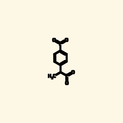 CC(c1ccc(P(=O)=O)cc1)P(=O)=O